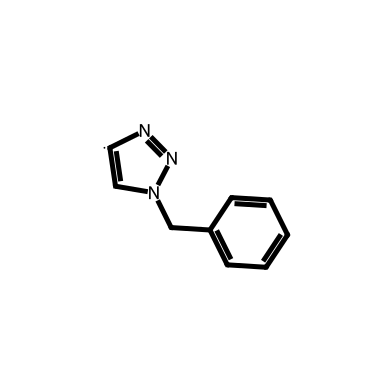 [c]1cn(Cc2ccccc2)nn1